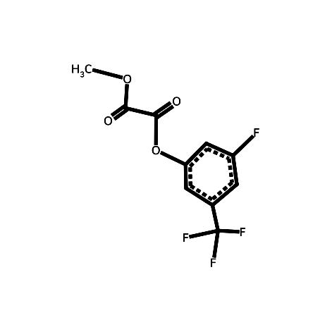 COC(=O)C(=O)Oc1cc(F)cc(C(F)(F)F)c1